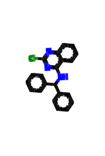 Clc1nc(NC(c2ccccc2)c2ccccc2)c2ccccc2n1